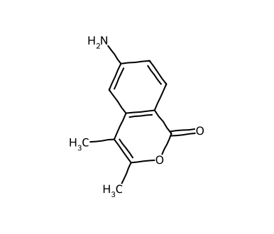 Cc1oc(=O)c2ccc(N)cc2c1C